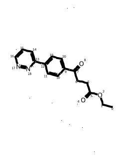 CCOC(=O)CCC(=O)c1ccc(-c2cccnn2)cc1